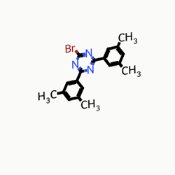 Cc1cc(C)cc(-c2nc(Br)nc(-c3cc(C)cc(C)c3)n2)c1